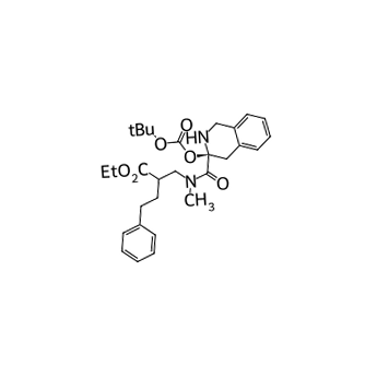 CCOC(=O)C(CCc1ccccc1)CN(C)C(=O)[C@@]1(OC(=O)OC(C)(C)C)Cc2ccccc2CN1